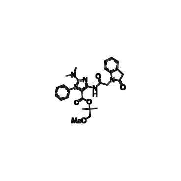 COCC(C)(C)OC(=O)c1c(NC(=O)CN2C(=O)Cc3ccccc32)nc(N(C)C)n1-c1ccccc1